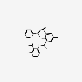 Cc1cc(C(C)Nc2cccc(F)c2C(=O)O)c2oc(-c3ccccn3)cc(=O)c2c1